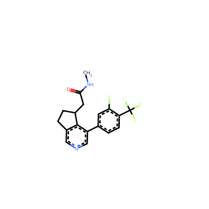 CNC(=O)CC1CCc2cncc(-c3ccc(C(F)(F)F)c(F)c3)c21